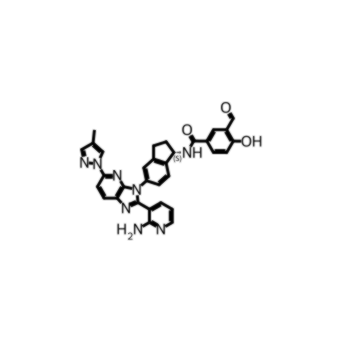 Cc1cnn(-c2ccc3nc(-c4cccnc4N)n(-c4ccc5c(c4)CC[C@@H]5NC(=O)c4ccc(O)c(C=O)c4)c3n2)c1